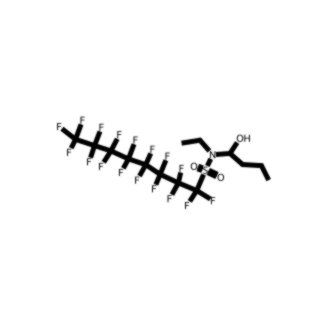 CCCC(O)N(CC)S(=O)(=O)C(F)(F)C(F)(F)C(F)(F)C(F)(F)C(F)(F)C(F)(F)C(F)(F)C(F)(F)F